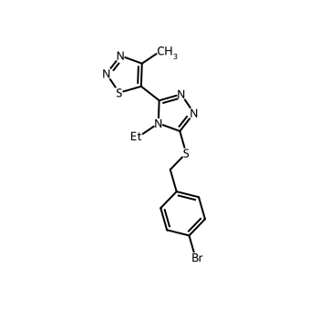 CCn1c(SCc2ccc(Br)cc2)nnc1-c1snnc1C